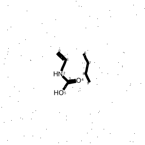 C=CNC(=O)O.CCCC